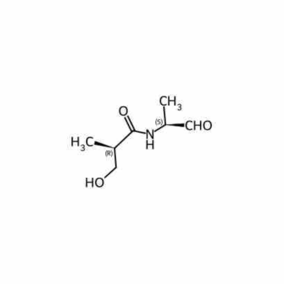 C[C@H](CO)C(=O)N[C@@H](C)C=O